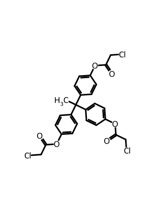 CC(c1ccc(OC(=O)CCl)cc1)(c1ccc(OC(=O)CCl)cc1)c1ccc(OC(=O)CCl)cc1